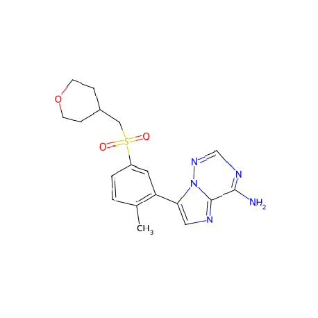 Cc1ccc(S(=O)(=O)CC2CCOCC2)cc1-c1cnc2c(N)ncnn12